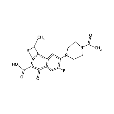 CC(=O)N1CCN(c2cc3c(cc2F)c(=O)c(C(=O)O)c2n3C(C)S2)CC1